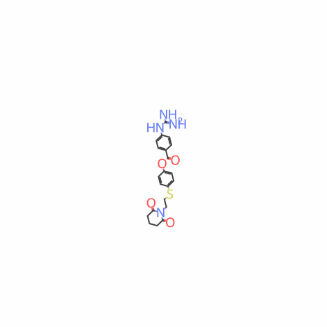 N=C(N)Nc1ccc(C(=O)Oc2ccc(SCCN3C(=O)CCCC3=O)cc2)cc1